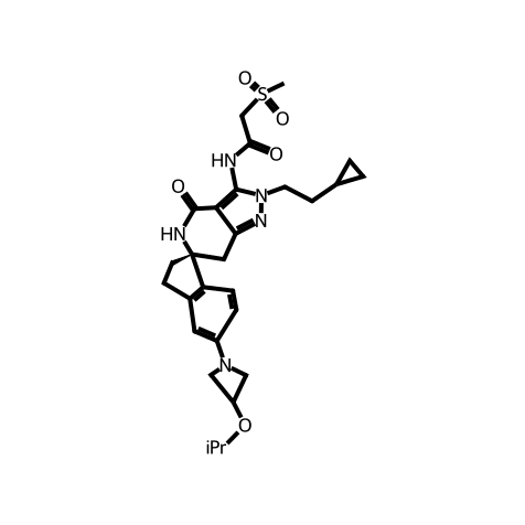 CC(C)OC1CN(c2ccc3c(c2)CC[C@@]32Cc3nn(CCC4CC4)c(NC(=O)CS(C)(=O)=O)c3C(=O)N2)C1